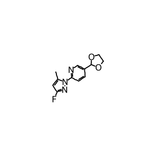 Cc1cc(F)nn1-c1ccc(C2OCCO2)cn1